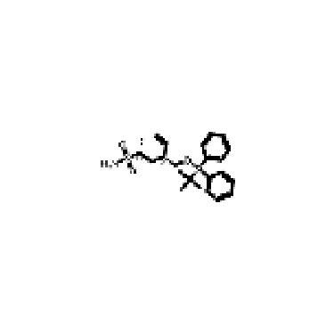 C=C[C@@H](CO[Si](c1ccccc1)(c1ccccc1)C(C)(C)C)C[C@@H](C)S(N)(=O)=O